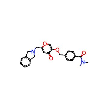 CN(C)C(=O)c1ccc(COc2coc(CN3Cc4ccccc4C3)cc2=O)cc1